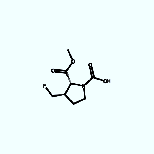 COC(=O)[C@H]1[C@H](CF)CCN1C(=O)O